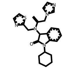 C=C(Cn1ccnc1)N(Cc1nccs1)C1C(=O)N(C2CCCCC2)c2ccccc21